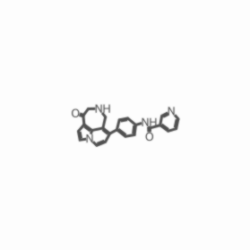 O=C(Nc1ccc(-c2ccn3ccc4c3c2CNCC4=O)cc1)c1cccnc1